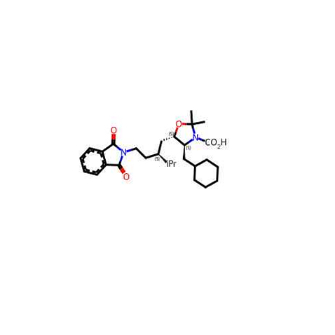 CC(C)[C@@H](CCN1C(=O)c2ccccc2C1=O)C[C@@H]1OC(C)(C)N(C(=O)O)[C@H]1CC1CCCCC1